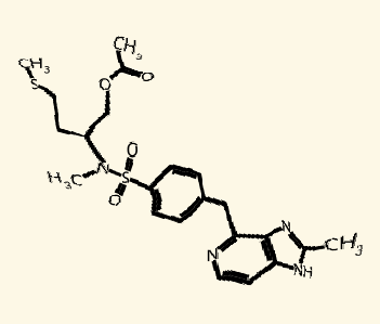 CSCC[C@@H](COC(C)=O)N(C)S(=O)(=O)c1ccc(Cc2nccc3[nH]c(C)nc23)cc1